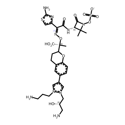 CC1(C)[C@H](NC(=O)/C(=N\O[C@](C)(C(=O)O)C2CCc3cc(-c4cn(C[C@@H](O)CN)[n+](CCCN)c4)ccc3O2)c2csc(N)n2)C(=O)N1OS(=O)(=O)[O-]